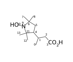 CC(CC(=O)O)C1CC(C)(C)N(O)C1(C)C